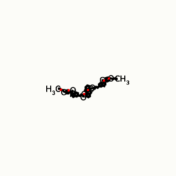 CCCCOc1ccc(C(=O)N2CCc3cc(/C=C/COOc4cccc5c4C4(CC5)CCc5cccc(OC(=O)/C=C/c6ccc7c(c6)CCN7C(=O)c6ccc(OCCCC)cc6)c54)ccc32)cc1